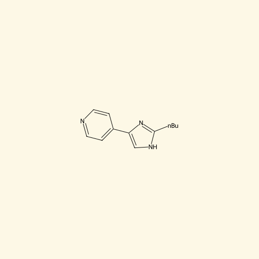 [CH2]CCCc1nc(-c2ccncc2)c[nH]1